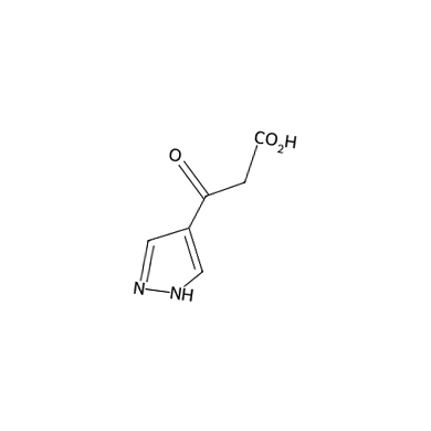 O=C(O)CC(=O)c1cn[nH]c1